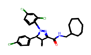 CC1C(C(=O)NCC2CCCCCC2)=NN(c2ccc(Cl)cc2Cl)C1c1ccc(Cl)cc1